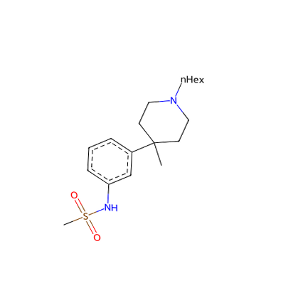 CCCCCCN1CCC(C)(c2cccc(NS(C)(=O)=O)c2)CC1